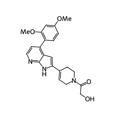 COc1ccc(-c2ccnc3[nH]c(C4=CCN(C(=O)CO)CC4)cc23)c(OC)c1